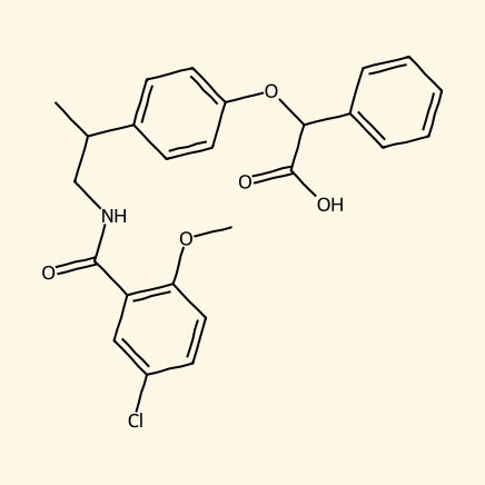 COc1ccc(Cl)cc1C(=O)NCC(C)c1ccc(OC(C(=O)O)c2ccccc2)cc1